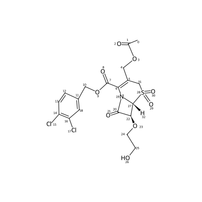 CC(=O)OCC1=C(C(=O)OCc2ccc(Cl)c(Cl)c2)N2C(=O)[C@H](OCCO)[C@H]2S(=O)(=O)C1